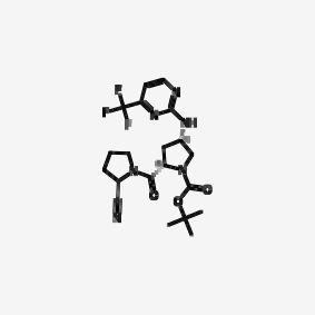 CC(C)(C)OC(=O)N1C[C@@H](Nc2nccc(C(F)(F)F)n2)C[C@H]1C(=O)N1CCCC1C#N